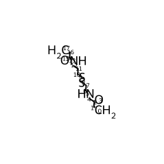 C=CC(=O)CNCCSSCCCNC(=O)C=C